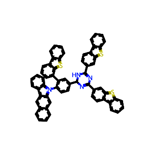 c1ccc2cc3c(cc2c1)c1ccccc1n3-c1ccc(C2N=C(c3ccc4c(c3)sc3ccccc34)N=C(c3ccc4c(c3)sc3ccccc34)N2)cc1-c1cccc2c1sc1ccccc12